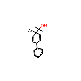 CC(=O)C1(C(C)(C)O)C=CC(c2ccccc2)C=C1